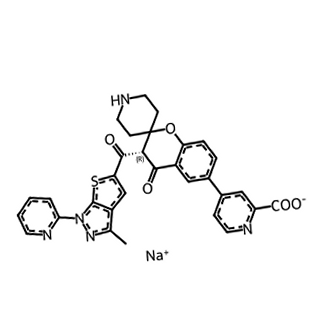 Cc1nn(-c2ccccn2)c2sc(C(=O)[C@H]3C(=O)c4cc(-c5ccnc(C(=O)[O-])c5)ccc4OC34CCNCC4)cc12.[Na+]